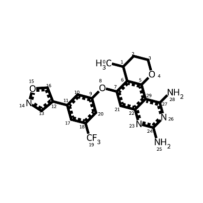 CC1CCOc2c1c(Oc1cc(-c3cnoc3)cc(C(F)(F)F)c1)cc1nc(N)nc(N)c21